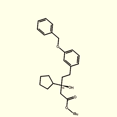 CC(C)(C)OC(=O)C[C@@](O)(CCc1cccc(OCc2ccccc2)c1)C1CCCC1